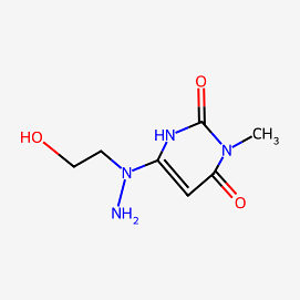 Cn1c(=O)cc(N(N)CCO)[nH]c1=O